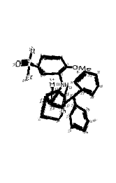 CCP(=O)(CC)c1ccc(OC)c(N[C@H]2C3CCN(CC3)[C@@]2(C)C(c2ccccc2)c2ccccc2)c1